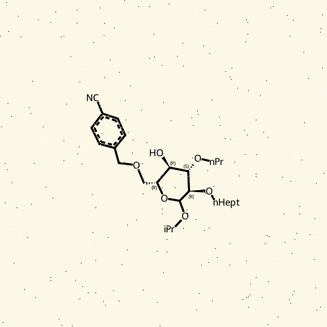 CCCCCCCO[C@H]1C(OC(C)C)O[C@H](COCc2ccc(C#N)cc2)[C@@H](O)[C@@H]1OCCC